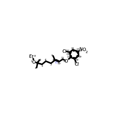 CCOC(C)(C)CCC/C(C)=C/COc1c(Cl)cc([N+](=O)[O-])cc1Cl